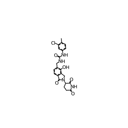 Cc1ccc(NC(=O)NCc2ccc3c(c2O)CN(C2CCC(=O)NC2=O)C3=O)cc1Cl